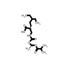 CCC(CC)CC[C@@H](CNC(=O)O[C@@H](C)OC(=O)C(C)C)C(=O)O